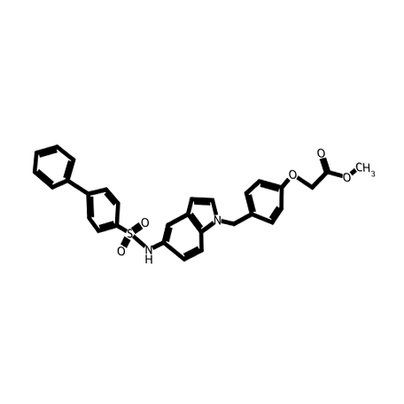 COC(=O)COc1ccc(Cn2ccc3cc(NS(=O)(=O)c4ccc(-c5ccccc5)cc4)ccc32)cc1